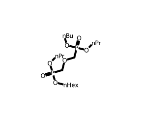 CCCCCCOP(=O)(COCP(=O)(OCCC)OCCCC)OCCC